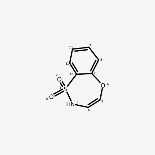 O=S1(=O)NC=COc2ccccc21